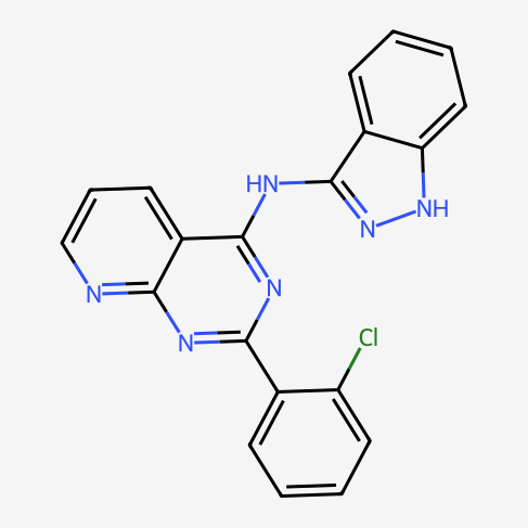 Clc1ccccc1-c1nc(Nc2n[nH]c3ccccc23)c2cccnc2n1